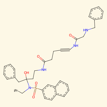 CC(C)CN(C(O)(CCNC(=O)CCC#CNC(=O)CNCc1ccccc1)Cc1ccccc1)S(=O)(=O)c1ccc2ccccc2c1